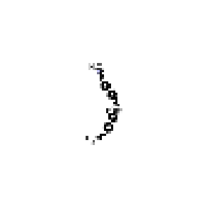 C=CCC[C@H]1CC[C@H](c2ccc(C(F)(F)OCCc3ccc([C@H]4CC[C@H](CC/C=C/C)CC4)cc3)c(F)c2)CC1